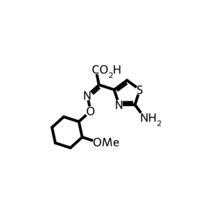 COC1CCCCC1ON=C(C(=O)O)c1csc(N)n1